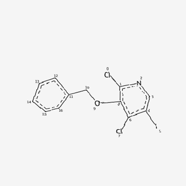 Clc1ncc(I)c(Cl)c1OCc1ccccc1